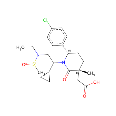 CCN(CC(C1CC1)N1C(=O)[C@@](C)(CC(=O)O)CC[C@H]1c1ccc(Cl)cc1)[S+](C)[O-]